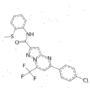 CSc1ccccc1NC(=O)c1cc2nc(-c3ccc(Cl)cc3)cc(C(F)(F)F)n2n1